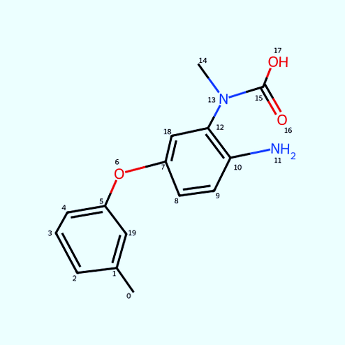 Cc1cccc(Oc2ccc(N)c(N(C)C(=O)O)c2)c1